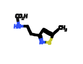 Cc1cc(CCNC(=O)O)ns1